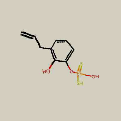 C=CCc1cccc(OP(O)(=S)S)c1O